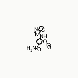 NC(=O)c1ccc(Nc2ncnc3ccsc23)c(OC2CCOC2)c1